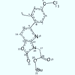 Cc1cc(OC(F)(F)F)ccc1-c1ccc2oc(=O)n(CC(=O)OC(C)(C)C)c2n1